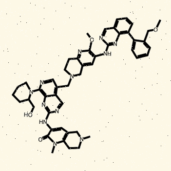 COCc1ccccc1-c1cccc2cnc(Nc3cc4c(nc3OC)CCN(Cc3cnc(N5CCCCC5CO)c5nc(Nc6cc7c(n(C)c6=O)CCN(C)C7)ncc35)C4)nc12